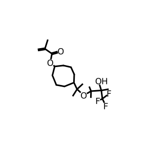 C=C(C)C(=O)OC1CCCC(C(C)(C)OC(C)(C)C(C)(O)C(F)(F)F)CCC1